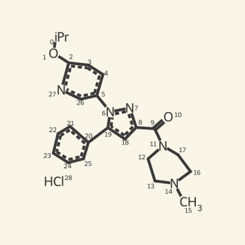 CC(C)Oc1ccc(-n2nc(C(=O)N3CCN(C)CC3)cc2-c2ccccc2)cn1.Cl